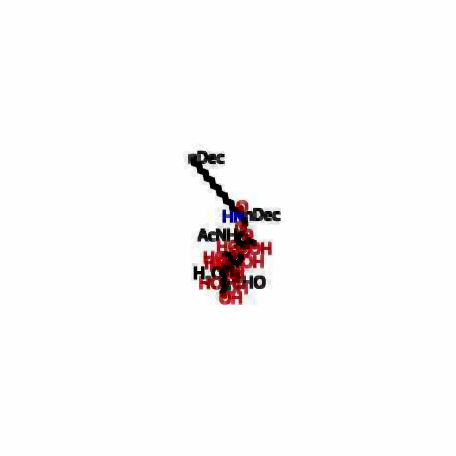 CCCCCCCCCCCCCCCCCCCCCCCC(=O)NC(CCCCCCCCCC)CO[C@@H]1OC(CO)[C@@H](O[C@@H]2OC(CO)[C@H](O)[C@H](O[C@]3(OC=O)C[C@@H](O)[C@@H](C)C([C@H](O)[C@H](O)CO)O3)C2O)[C@H](O)C1NC(C)=O